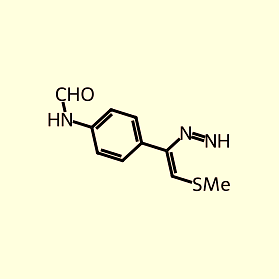 CS/C=C(\N=N)c1ccc(NC=O)cc1